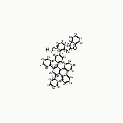 Cc1ccc2c(nc3oc4ccccc4n32)c1-c1ccc(-c2c(-c3ccccc3)cc(-c3ccccc3)c(-c3ccccc3)c2-c2ccccc2)cc1